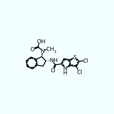 CN(C(=O)O)[C@@H]1c2ccccc2C[C@H]1NC(=O)c1cc2sc(Cl)c(Cl)c2[nH]1